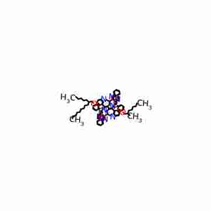 CCCCCCCCCC(CCCCCC)COc1cccc(-c2c3/c(=C(\C#N)c4cnc5ccccc5n4)n(B(c4ccccc4)c4ccccc4)c(-c4cccc(OCC(C)CCCCCC)c4)c3/c(=C(\C#N)c3cnc4ccccc4n3)n2B(c2ccccc2)c2ccccc2)c1